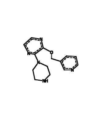 c1cncc(COc2nccnc2N2CCNCC2)c1